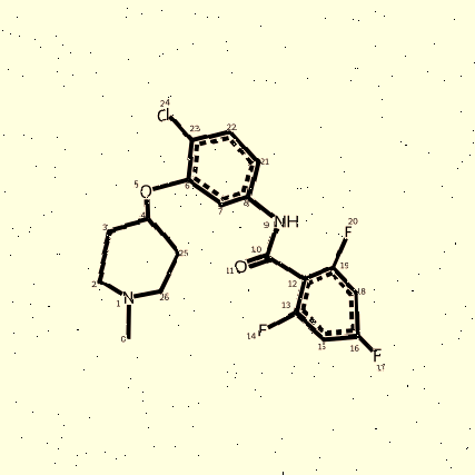 CN1CCC(Oc2cc(NC(=O)c3c(F)cc(F)cc3F)ccc2Cl)CC1